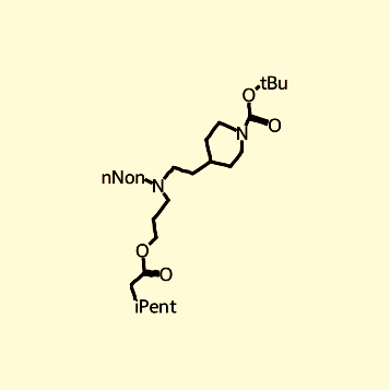 CCCCCCCCCN(CCCOC(=O)CC(C)CCC)CCC1CCN(C(=O)OC(C)(C)C)CC1